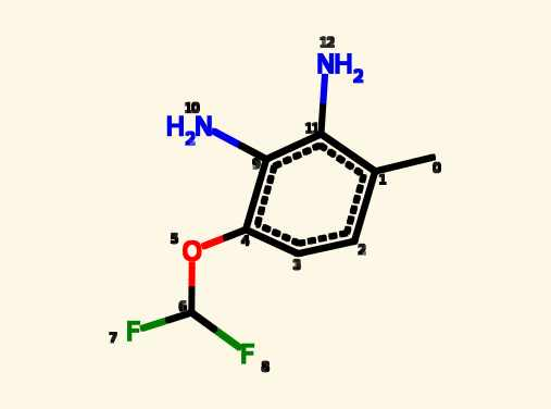 Cc1ccc(OC(F)F)c(N)c1N